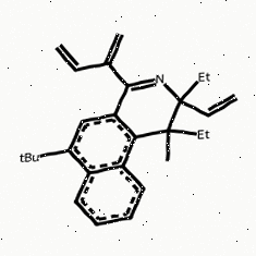 C=CC(=C)C1=NC(C=C)(CC)C(C)(CC)c2c1cc(C(C)(C)C)c1ccccc21